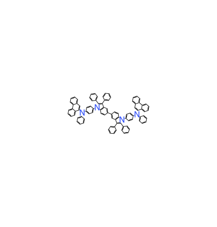 c1ccc(-c2c(-c3ccccc3)n(-c3ccc(N(c4ccccc4)c4cc5ccccc5c5ccccc45)cc3)c3ccc(-c4ccc5c(c4)c(-c4ccccc4)c(-c4ccccc4)n5-c4ccc(N(c5ccccc5)c5cc6ccccc6c6ccccc56)cc4)cc23)cc1